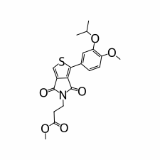 COC(=O)CCN1C(=O)c2csc(-c3ccc(OC)c(OC(C)C)c3)c2C1=O